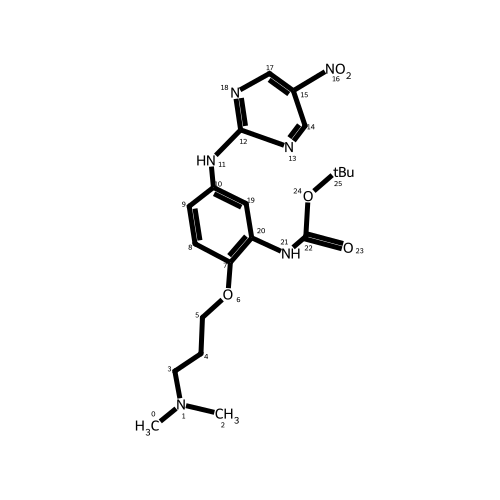 CN(C)CCCOc1ccc(Nc2ncc([N+](=O)[O-])cn2)cc1NC(=O)OC(C)(C)C